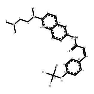 CN(C)CCN(C)c1ccc2cc(NC(=O)/C=C\c3ccc(OC(F)(F)F)cc3)ccc2n1